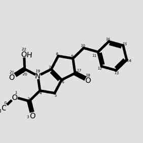 COC(=O)C1CC2=C(CC(Cc3ccccc3)C2=O)N1C(=O)O